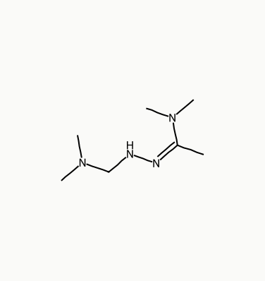 CC(=NNCN(C)C)N(C)C